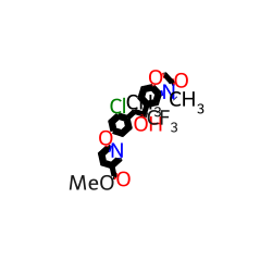 COC(=O)c1ccc(Oc2ccc(C(C)C(O)(c3ccc4c(c3)N(C)C(=O)CO4)C(F)(F)F)c(Cl)c2)nc1